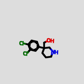 OCC1(c2ccc(Cl)c(Cl)c2)CCCNC1